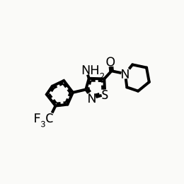 Nc1c(-c2cccc(C(F)(F)F)c2)nsc1C(=O)N1CCCCC1